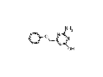 Nc1nc(O)cc(COc2ccccc2)n1